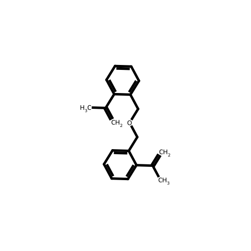 C=C(C)c1ccccc1COCc1ccccc1C(=C)C